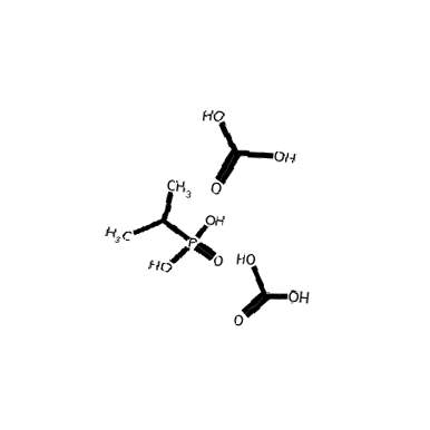 CC(C)P(=O)(O)O.O=C(O)O.O=C(O)O